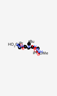 COC(=O)N[C@H](C(=O)N1CCC[C@H]1c1nc2ccc([C@H]3CC[C@H](c4ccc5nc([C@@H]6CCCN6C(=O)[C@H](C(C)C)N(C)C(=O)O)oc5c4)N3c3ccc(C(C)(C)C)cc3)cc2o1)C(C)C